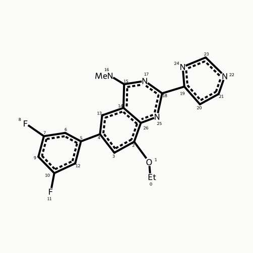 CCOc1cc(-c2cc(F)cc(F)c2)cc2c(NC)nc(-c3ccncn3)nc12